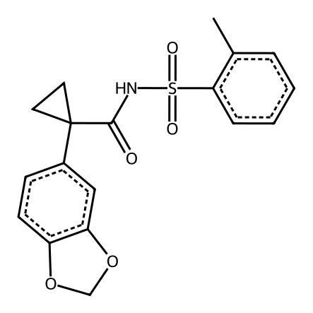 Cc1ccccc1S(=O)(=O)NC(=O)C1(c2ccc3c(c2)OCO3)CC1